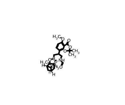 COc1ccc(C(CNC=O)CB2OC3C[C@@H]4C[C@@H](C4(C)C)[C@]3(C)O2)c2c1C(=O)OC(C)(C)O2